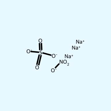 O=S(=O)([O-])[O-].O=[N+]([O-])[O-].[Na+].[Na+].[Na+]